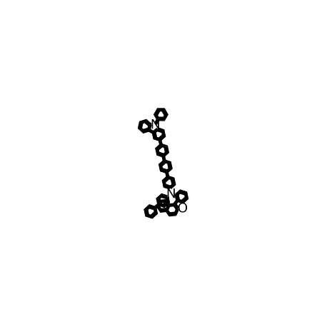 c1ccc(-c2ccc(N(c3ccc(-c4ccc(-c5ccc(-c6ccc7c(c6)c6ccccc6n7-c6ccccc6)cc5)cc4)cc3)c3cccc4oc5ccc6ccccc6c5c34)cc2)cc1